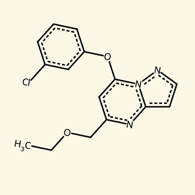 CCOCc1cc(Oc2cccc(Cl)c2)n2nccc2n1